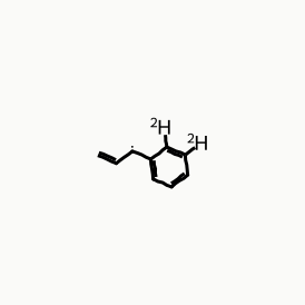 [2H]c1cccc([CH]C=C)c1[2H]